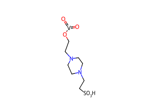 [O]=[V](=[O])[O]CCN1CCN(CCS(=O)(=O)O)CC1